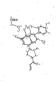 C=CC(=O)N1CCN(c2nc(=O)n3c4c(c(-c5ccc(F)cc5F)c(Cl)cc24)SC[C@H]3COCOC)[C@@H](C)C1